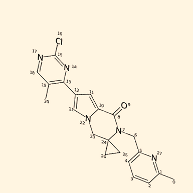 Cc1cccc(CN2C(=O)c3cc(-c4nc(Cl)ncc4C)cn3CC23CC3)n1